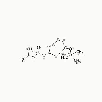 CC(C)NC(=O)OC1/C=C/CCC(OC(C)(C)C)CC1